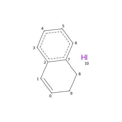 C1=Cc2ccccc2CC1.I